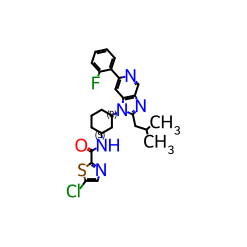 CC(C)Cc1nc2cnc(-c3ccccc3F)cc2n1[C@@H]1CCC[C@H](NC(=O)c2ncc(Cl)s2)C1